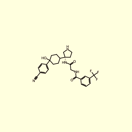 N#Cc1ccc(C2(O)CCC([C@]3(NC(=O)CNC(=O)c4cccc(C(F)(F)F)c4)CCNC3)CC2)cc1